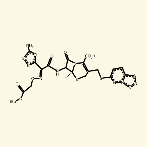 CC(C)(C)OC(=O)CON=C(C(=O)NC1C(=O)N2C(C(=O)O)=C(CSc3ccc4nnnn4n3)CS[C@@H]12)c1nsc(N)n1